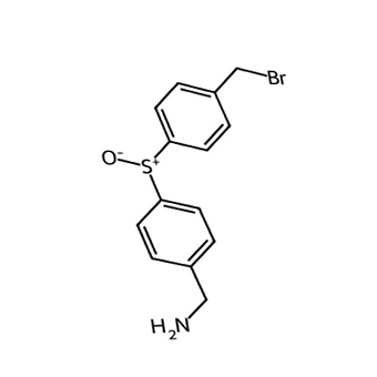 NCc1ccc([S+]([O-])c2ccc(CBr)cc2)cc1